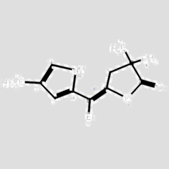 CC/C(=C1/CC(C)(C)C(=O)O1)c1cc(C(=O)O)c[nH]1